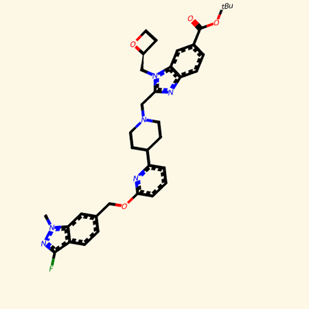 Cn1nc(F)c2ccc(COc3cccc(C4CCN(Cc5nc6ccc(C(=O)OC(C)(C)C)cc6n5C[C@@H]5CCO5)CC4)n3)cc21